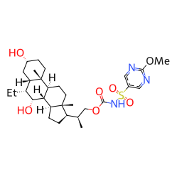 CC[C@H]1[C@@H](O)[C@@H]2[C@H](CC[C@]3(C)[C@@H]([C@H](C)COC(=O)NS(=O)(=O)c4cnc(OC)nc4)CC[C@@H]23)[C@@]2(C)CC[C@@H](O)C[C@@H]12